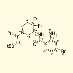 CC(C)(C)OC(=O)N1CCC(F)(F)C(NC(=O)c2ccc(Br)cc2N)C1